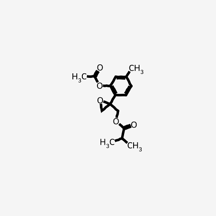 CC(=O)Oc1cc(C)ccc1C1(COC(=O)C(C)C)CO1